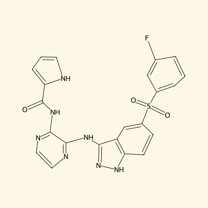 O=C(Nc1nccnc1Nc1n[nH]c2ccc(S(=O)(=O)c3cccc(F)c3)cc12)c1ccc[nH]1